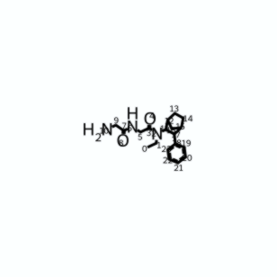 CCN(C(=O)CNC(=O)CN)C1C2CCC(C2)C1c1ccccc1